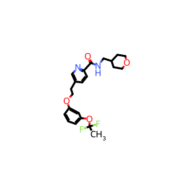 CC(F)(F)Oc1cccc(OCCc2ccc(C(=O)NCC3CCOCC3)nc2)c1